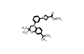 COC(=O)C1CN(c2cccc(N3CC(C)(C)Oc4cc(C(C)C)ccc43)c2)C1